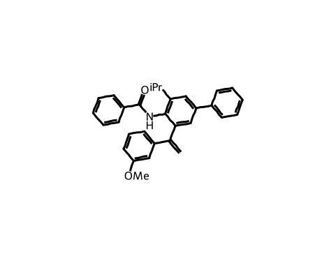 C=C(c1cccc(OC)c1)c1cc(-c2ccccc2)cc(C(C)C)c1NC(=O)c1ccccc1